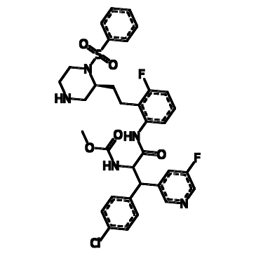 COC(=O)NC(C(=O)Nc1cccc(F)c1CC[C@H]1CNCCN1S(=O)(=O)c1ccccc1)C(c1ccc(Cl)cc1)c1cncc(F)c1